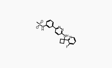 CS(=O)(=O)Nc1cccc(-c2ccc(NC3(c4ncccc4F)CCC3)nn2)c1